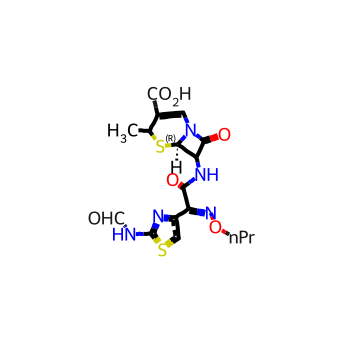 CCCON=C(C(=O)NC1C(=O)N2C=C(C(=O)O)C(C)S[C@H]12)c1csc(NC=O)n1